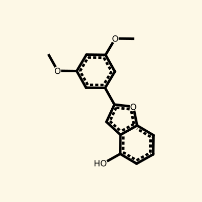 COc1cc(OC)cc(-c2cc3c(O)cccc3o2)c1